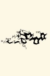 Cc1cc2nc(-c3cccc(-c4cc(F)c(F)cc4O)c3)cn2c(N2CCC(C)(OCCOC[C@@H](C)O)CC2)c1C(OC(C)(C)C)C(=O)O